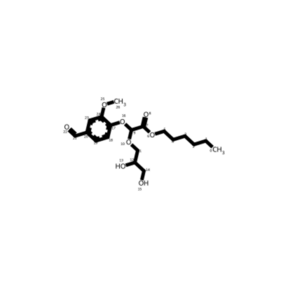 CCCCCCOC(=O)C(OCC(O)CO)Oc1ccc(C=O)cc1OC